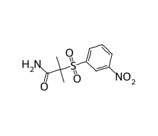 CC(C)(C(N)=O)S(=O)(=O)c1cccc([N+](=O)[O-])c1